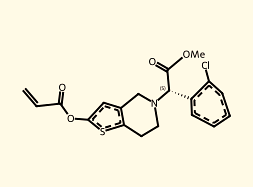 C=CC(=O)Oc1cc2c(s1)CCN([C@H](C(=O)OC)c1ccccc1Cl)C2